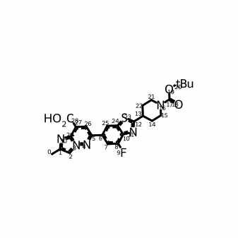 Cc1cn2nc(-c3cc(F)c4nc(C5CCN(C(=O)OC(C)(C)C)CC5)sc4c3)cc(C(=O)O)c2n1